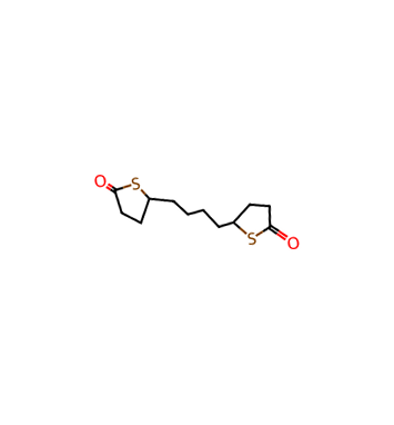 O=C1CCC(CCCCC2CCC(=O)S2)S1